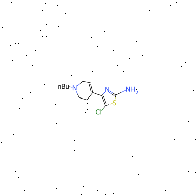 CCCCN1CC=C(c2nc(N)sc2Cl)CC1